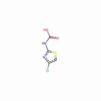 O=C(O)Nc1nc(Cl)cs1